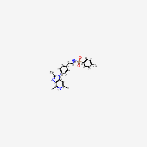 CCc1nc2c(C)nc(C)cc2n1-c1ccc(CCNS(=O)(=O)c2ccc(C)cc2)cc1